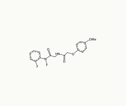 COc1ccc(OCC(=O)NCC(=O)N(F)c2ccccc2F)cc1